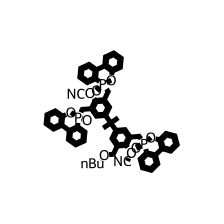 CCCCOCc1cc(C(C)(C)c2cc(CP3(=O)Oc4ccccc4-c4ccccc43)c(OC#N)c(CP3(=O)Oc4ccccc4-c4ccccc43)c2)cc(CP2(=O)Oc3ccccc3-c3ccccc32)c1OC#N